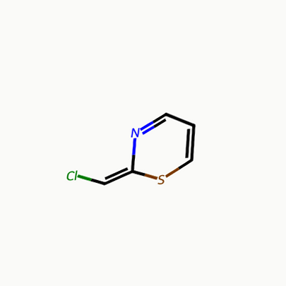 ClC=C1N=CC=CS1